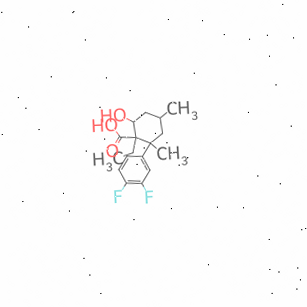 CCC1(C(=O)O)C(O)CC(C)CC1(C)c1ccc(F)c(F)c1